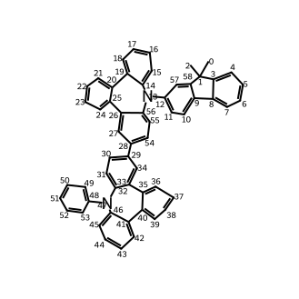 CC1(C)c2ccccc2-c2ccc(N3c4ccccc4-c4ccccc4-c4cc(-c5ccc6c(c5)-c5ccccc5-c5ccccc5N6c5ccccc5)ccc43)cc21